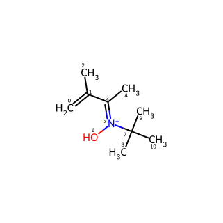 C=C(C)/C(C)=[N+](\O)C(C)(C)C